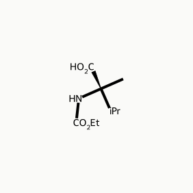 CCOC(=O)N[C@@](C)(C(=O)O)C(C)C